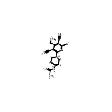 CCc1c(C#N)c(Cl)nc(N2CCN(OC(N)=O)CC2)c1C#N